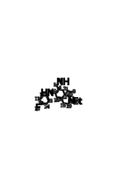 C=CC12CC(C=N)=C(Nc3ccc(F)cc3)C=C1CCN(CC)C2